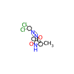 Cc1ccc2[nH]c(=O)cc(C(=O)N3CCN(c4ccc(Cl)c(Cl)c4)CC3C)c2c1